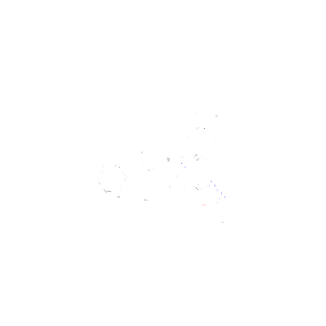 Cc1nnc([C@H]2C[C@H](S(=O)(=O)c3ccccc3Cl)CN2C(=O)OC(C)(C)C)o1